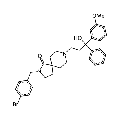 COc1cccc(C(O)(CCN2CCC3(CC2)CCN(Cc2ccc(Br)cc2)C3=O)c2ccccc2)c1